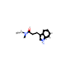 CON(C)C(=O)CCc1c[nH]c2ccccc12